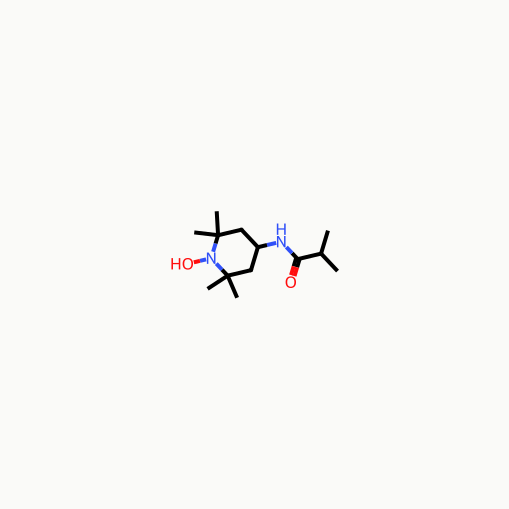 CC(C)C(=O)NC1CC(C)(C)N(O)C(C)(C)C1